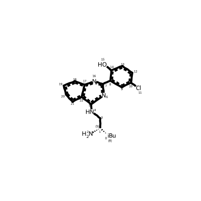 CC[C@@H](C)[C@H](N)CNc1nc(-c2cc(Cl)ccc2O)nc2ccccc12